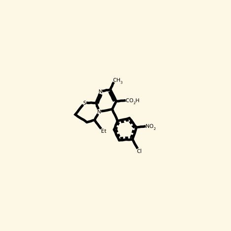 CCC1CCSC2=NC(C)=C(C(=O)O)C(c3ccc(Cl)c([N+](=O)[O-])c3)N21